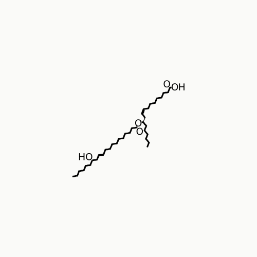 CCCCCCC(O)CC=CCCCCCCCCCC(=O)O[C@@H](C/C=C\CCCCCCCC(=O)O)CCCCCC